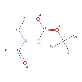 CC(=O)N1CCO[C@@H](OC(C)(C)C)C1